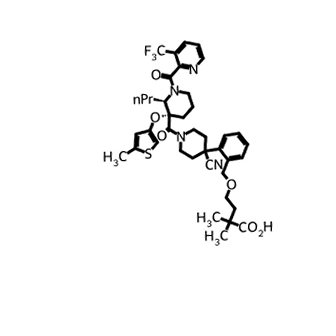 CCC[C@H]1N(C(=O)c2ncccc2C(F)(F)F)CCC[C@@]1(Oc1csc(C)c1)C(=O)N1CCC(C#N)(c2ccccc2COCCC(C)(C)C(=O)O)CC1